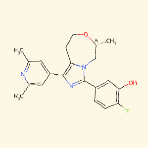 Cc1cc(-c2nc(-c3ccc(F)c(O)c3)n3c2CCO[C@H](C)C3)cc(C)n1